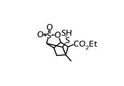 CCOC(=O)C1C2OS(=O)(=O)C3C2CC1(C)C3SS